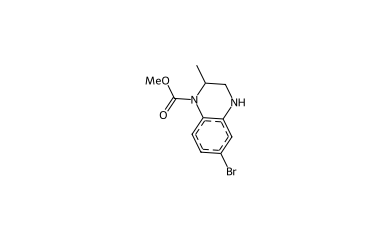 COC(=O)N1c2ccc(Br)cc2NCC1C